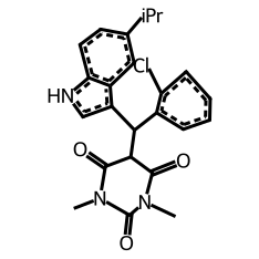 CC(C)c1ccc2[nH]cc(C(c3ccccc3Cl)C3C(=O)N(C)C(=O)N(C)C3=O)c2c1